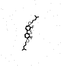 CC(C)CCCOc1ccc2c(sc3c(F)c(OCCCC(C)C)ccc32)c1F